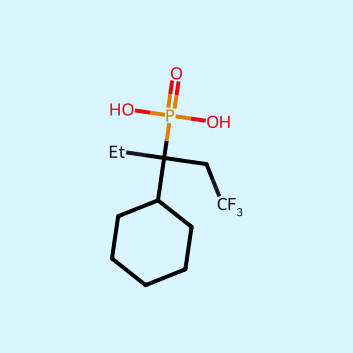 CCC(CC(F)(F)F)(C1CCCCC1)P(=O)(O)O